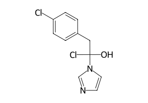 OC(Cl)(Cc1ccc(Cl)cc1)n1ccnc1